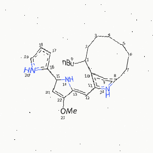 CCCCC1CCCCCCc2cc1c(C=C1NC(c3ccc[nH]3)C=C1OC)[nH]2